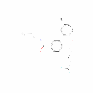 Bc1ccc(OC(CCCC(F)F)c2ccc(C(=O)NCCC(=O)O)cc2)cc1